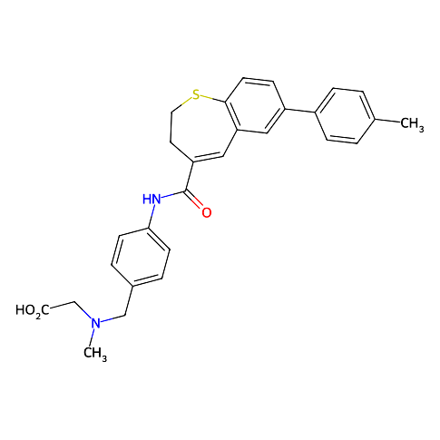 Cc1ccc(-c2ccc3c(c2)C=C(C(=O)Nc2ccc(CN(C)CC(=O)O)cc2)CCS3)cc1